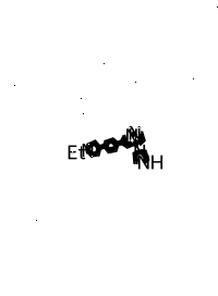 CCN1CCC(c2ccc(-c3cc4c(N5CCNCC5)ccnn4c3)cc2)CC1